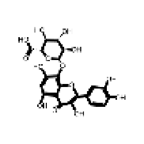 O=C(O)[C@H]1O[C@@H](Oc2c(O)cc(O)c3c(=O)c(O)c(-c4ccc(O)c(O)c4)oc23)[C@H](O)[C@@H](O)[C@@H]1O